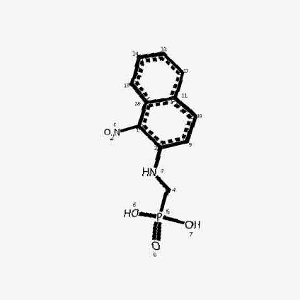 O=[N+]([O-])c1c(NCP(=O)(O)O)ccc2ccccc12